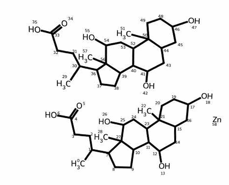 CC(CCC(=O)O)C1CCC2C3C(O)CC4CC(O)CCC4(C)C3CC(O)C12C.CC(CCC(=O)O)C1CCC2C3C(O)CC4CC(O)CCC4(C)C3CC(O)C12C.[Zn]